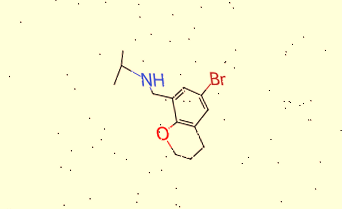 CC(C)NCc1cc(Br)cc2c1OCCC2